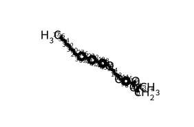 [CH2+][C-](CC)OC(=O)c1ccc(OCCCCOc2ccc(C3CCC(C4CCC(CCCCCCCCC)CC4)CC3)cc2)cc1